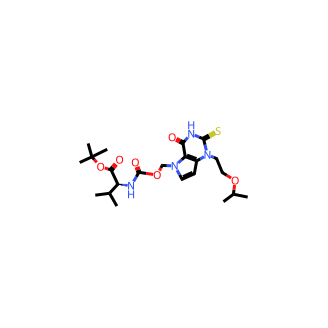 CC(C)OCCn1c(=S)[nH]c(=O)c2c1ccn2COC(=O)N[C@H](C(=O)OC(C)(C)C)C(C)C